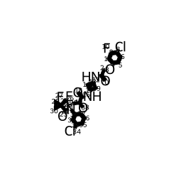 O=C(COc1ccc(Cl)c(F)c1)NC12CC(NC(=O)C3CN(C(=O)C4(C(F)(F)F)CC4)c4cc(Cl)ccc4O3)(C1)C2